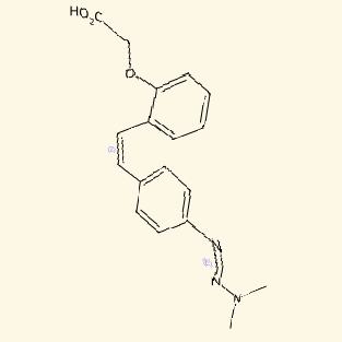 CN(C)/N=N/c1ccc(/C=C\c2ccccc2OCC(=O)O)cc1